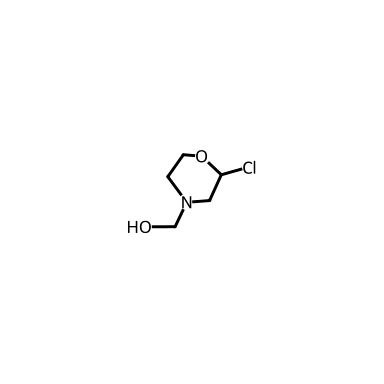 OCN1CCOC(Cl)C1